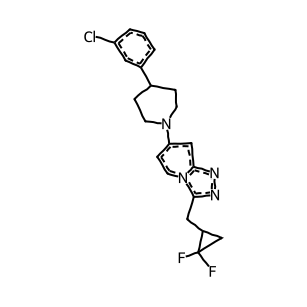 FC1(F)CC1Cc1nnc2cc(N3CCC(c4cccc(Cl)c4)CC3)ccn12